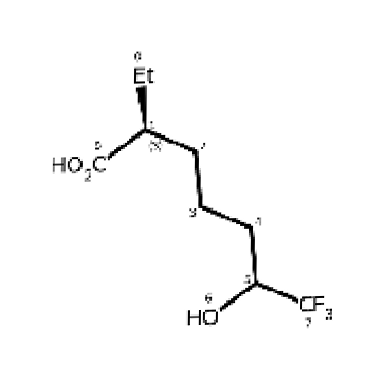 CC[C@@H](CCCC(O)C(F)(F)F)C(=O)O